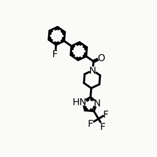 O=C(c1ccc(-c2ccccc2F)cc1)N1CCC(c2nc(C(F)(F)F)c[nH]2)CC1